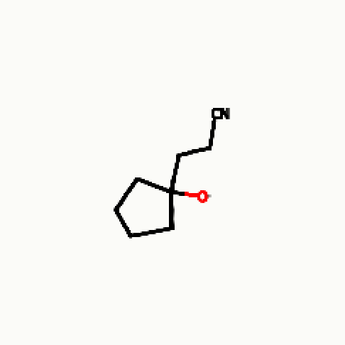 N#CCCC1([O])CCCC1